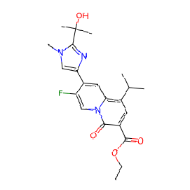 CCOC(=O)c1cc(C(C)C)c2cc(-c3cn(C)c(C(C)(C)O)n3)c(F)cn2c1=O